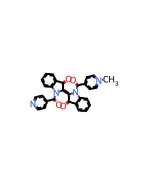 C[n+]1ccc(C(=O)N2/C(=C3\C(=O)c4ccccc4N3C(=O)c3ccncc3)C(=O)c3ccccc32)cc1